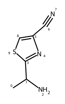 CC(N)c1nc(C#N)cs1